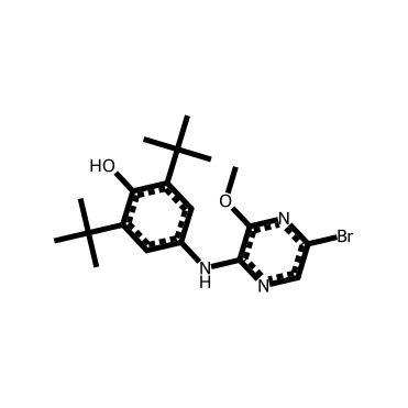 COc1nc(Br)cnc1Nc1cc(C(C)(C)C)c(O)c(C(C)(C)C)c1